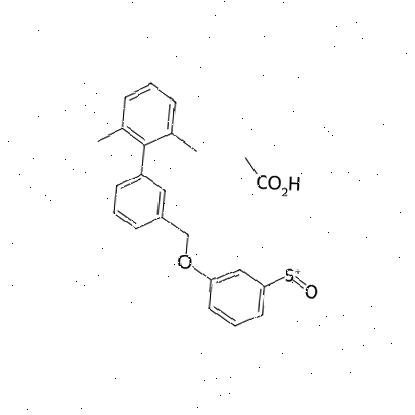 CC(=O)O.Cc1cccc(C)c1-c1cccc(COc2cccc([S+]=O)c2)c1